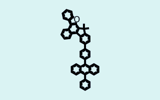 CC1(C)c2ccc(-c3ccc(-c4c5ccccc5c(-c5ccccc5)c5ccccc45)cc3)cc2-c2c1c1oc3ccccc3c1c1ccccc21